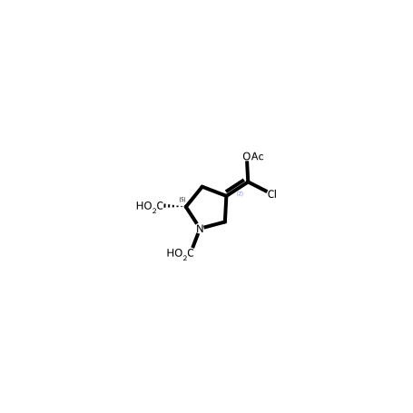 CC(=O)O/C(Cl)=C1\C[C@@H](C(=O)O)N(C(=O)O)C1